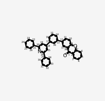 O=c1c2ccccc2oc2ccc(-c3cccc(-c4cc(-c5ccccc5)nc(-c5ccccc5)c4)c3)cc12